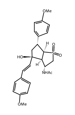 COc1ccc(/C=C/[C@]2(O)C[C@H](c3ccc(OC)cc3)[C@@H]3[C@H]2[C@@H](NC(C)=O)CS3(=O)=O)cc1